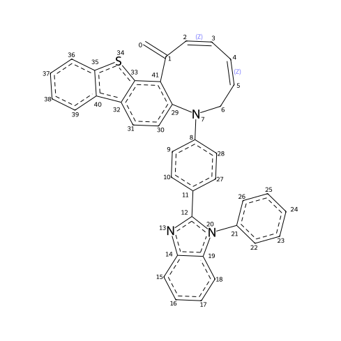 C=C1/C=C\C=C/CN(c2ccc(-c3nc4ccccc4n3-c3ccccc3)cc2)c2ccc3c(sc4ccccc43)c21